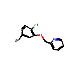 CC(C)c1ccc(Cl)c(OCc2ccccn2)c1